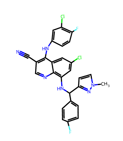 Cn1ccc(C(Nc2cc(Cl)cc3c(Nc4ccc(F)c(Cl)c4)c(C#N)cnc23)c2ccc(F)cc2)n1